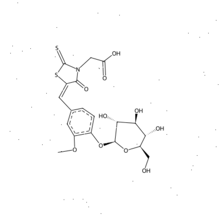 COc1cc(C=C2SC(=S)N(CC(=O)O)C2=O)ccc1O[C@@H]1O[C@H](CO)[C@@H](O)[C@H](O)[C@H]1O